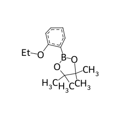 CCOc1ccccc1B1OC(C)(C)C(C)(C)O1